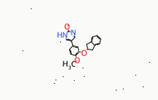 COc1ccc(-c2cnc(=O)[nH]c2)cc1OC1Cc2ccccc2C1